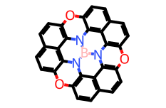 c1cc2oc3ccc4ccc5oc6ccc7ccc8oc9ccc1c1c2n2c3c4c5n3c6c7c8n(c91)B23